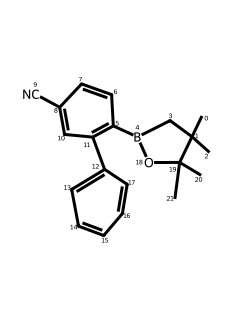 CC1(C)CB(c2ccc(C#N)cc2-c2ccccc2)OC1(C)C